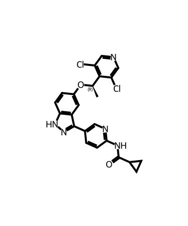 C[C@@H](Oc1ccc2[nH]nc(-c3ccc(NC(=O)C4CC4)nc3)c2c1)c1c(Cl)cncc1Cl